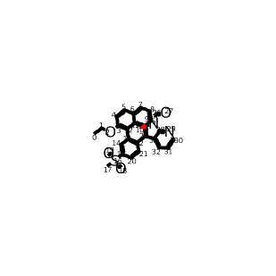 CCOc1ccc2ccccc2c1-c1cc(S(C)(=O)=O)ccc1-c1cn(C=O)c2ncccc12